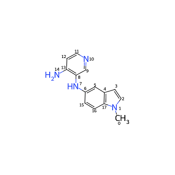 Cn1ccc2cc(Nc3cnccc3N)ccc21